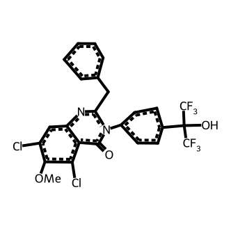 COc1c(Cl)cc2nc(Cc3ccccc3)n(-c3ccc(C(O)(C(F)(F)F)C(F)(F)F)cc3)c(=O)c2c1Cl